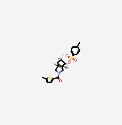 Cc1ccc(S(=O)(=O)O[C@@H]2[C@@H]3CN(C(=O)c4ccc(C)s4)C[C@@H]3C[C@H]2F)cc1